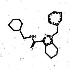 O=C(NCC1CCCCC1)c1nn(Cc2ccccc2)c2c1CCCC2